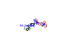 CC(C)OC(=O)N1CCC(OCc2nc(-c3ccc(N4C[C@H](c5cc(F)ccc5F)[C@@H](N)C4)nc3)no2)CC1